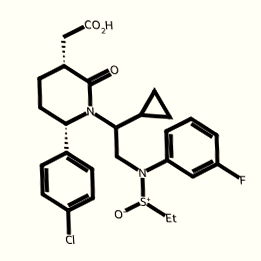 CC[S+]([O-])N(CC(C1CC1)N1C(=O)[C@@H](CC(=O)O)CC[C@H]1c1ccc(Cl)cc1)c1cccc(F)c1